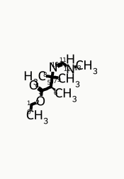 CCOC(=O)[C@H](C)C(C)(C)/N=C\NC